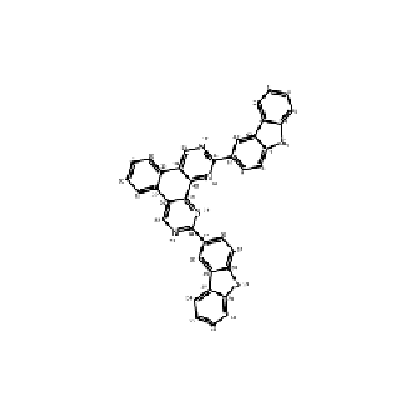 c1ccc2c(c1)sc1ccc(-c3ncc4c5ccccc5c5cnc(-c6ccc7sc8ccccc8c7c6)nc5c4n3)cc12